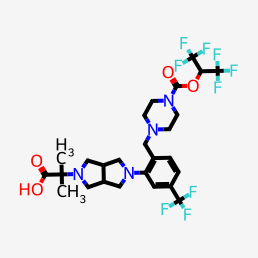 CC(C)(C(=O)O)N1CC2CN(c3cc(C(F)(F)F)ccc3CN3CCN(C(=O)OC(C(F)(F)F)C(F)(F)F)CC3)CC2C1